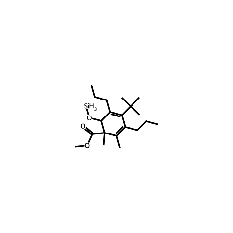 CCCC1=C(C)C(C)(C(=O)OC)C(O[SiH3])C(CCC)=C1C(C)(C)C